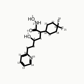 O=C(NO)C(CC(O)[CH]Cc1ccccn1)C1CCC(F)(F)CC1